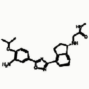 CNC(=O)CN[C@H]1CCc2c(-c3noc(-c4ccc(OC(C)C)c(N)c4)n3)cccc21